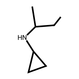 CCC(C)NC1CC1